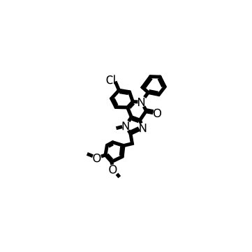 COc1ccc(Cc2nc3c(=O)n(-c4ccccc4)c4cc(Cl)ccc4c3n2C)cc1OC